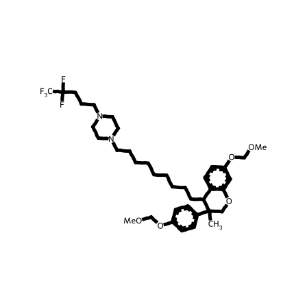 COCOc1ccc(C2(C)COc3cc(OCOC)ccc3C2CCCCCCCCCN2CCN(CCCC(F)(F)C(F)(F)F)CC2)cc1